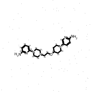 Nc1ccc(N2CCC(OCCN3CCN(c4cccc(N)n4)CC3)CC2)cn1